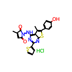 CC1=CC(=O)N(Nc2nc(-c3cccs3)nc3sc(-c4ccc(O)cc4)c(C)c23)C1=O.Cl